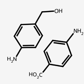 Nc1ccc(C(=O)O)cc1.Nc1ccc(CO)cc1